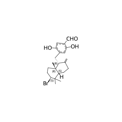 C=C1CC[C@@H]2C(C)(C)[C@@H](Br)CC[C@]2(C)[C@@H]1Cc1cc(O)c(C=O)cc1O